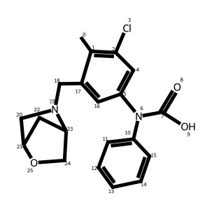 Cc1c(Cl)cc(N(C(=O)O)c2ccccc2)cc1CN1CC2CC1CO2